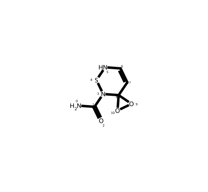 NC(=O)N1SNC=CC12OO2